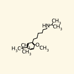 COc1ccc(C(C)(C)C)cc1CCCCCCNC(C)C